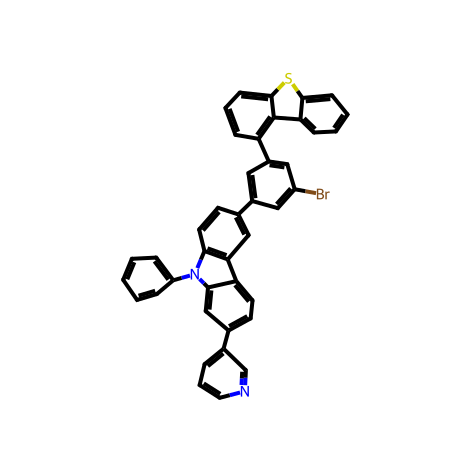 Brc1cc(-c2ccc3c(c2)c2ccc(-c4cccnc4)cc2n3-c2ccccc2)cc(-c2cccc3sc4ccccc4c23)c1